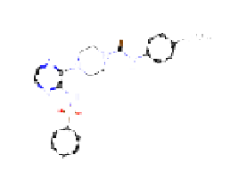 COc1ccc(NC(=S)N2CCN(c3nccnc3NS(=O)(=O)c3ccccc3)CC2)cc1